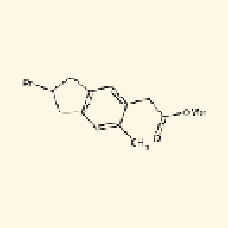 COC(=O)Cc1cc2c(cc1C)CC(C(C)C)C2